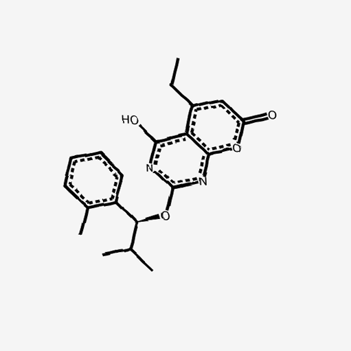 CCc1cc(=O)oc2nc(O[C@H](c3ccccc3C)C(C)C)nc(O)c12